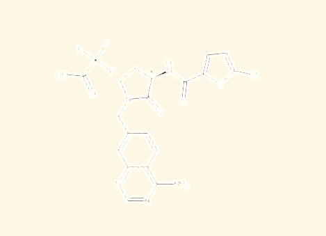 Nc1ncnc2cc(CN3CC[C@@H](NC(=O)c4ccc(Cl)s4)C3=O)ccc12.O=C(O)C(F)(F)F